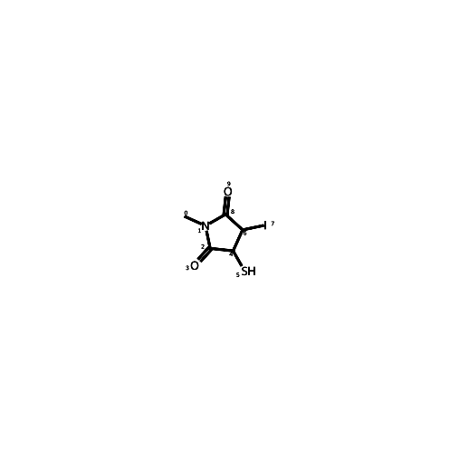 CN1C(=O)C(S)C(I)C1=O